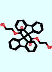 O=C(OCCO)C1(C2(C(=O)OCCO)c3ccccc3-c3ccccc32)c2ccccc2-c2ccccc21